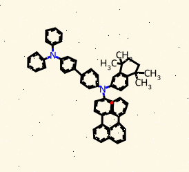 CC1(C)CCC(C)(C)c2cc(N(c3ccc(-c4ccc(N(c5ccccc5)c5ccccc5)cc4)cc3)c3ccc(-c4cccc5cccc(-c6ccccc6)c45)cc3)ccc21